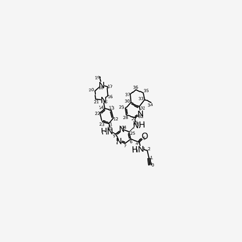 C#CCNC(=O)c1cnc(Nc2ccc(N3CCN(C)CC3)cc2)nc1Nc1ccc2c(n1)C(C)CCC2